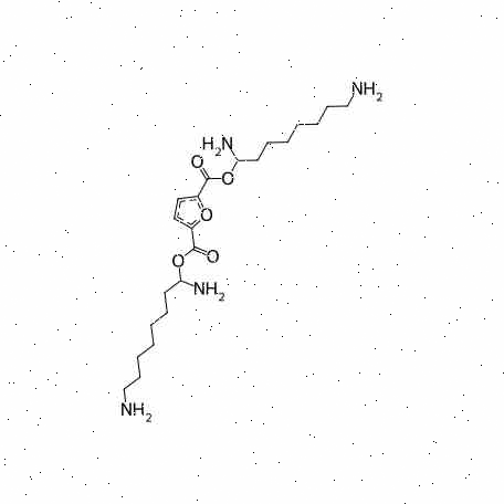 NCCCCCCCC(N)OC(=O)c1ccc(C(=O)OC(N)CCCCCCCN)o1